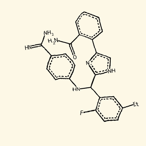 CCc1ccc(F)c(C(Nc2ccc(C(=N)N)cc2)c2nc(-c3ccccc3C(N)=O)c[nH]2)c1